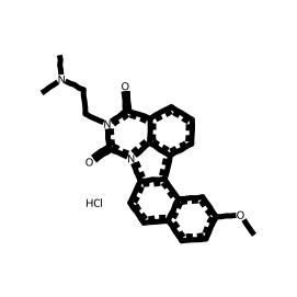 COc1ccc2ccc3c(c2c1)c1cccc2c(=O)n(CCN(C)C)c(=O)n3c21.Cl